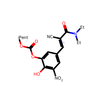 CCCC(C)OC(=O)Oc1cc(/C=C(\C#N)C(=O)N(CC)CC)cc([N+](=O)[O-])c1O